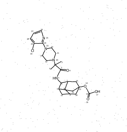 CC(C)(C(=O)NC1C2CC3CC1CC(OC(=O)O)(C3)C2)N1CCN(c2ncccc2Cl)CC1